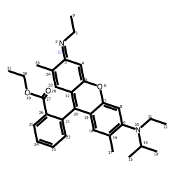 CC/N=c1\cc2oc3cc(N(CC)C(C)C)c(C)cc3c(-c3ccccc3C(=O)OCC)c-2cc1C